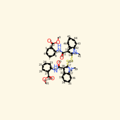 COC(=O)c1ccccc1NC(=O)c1c(SSc2c(C(=O)Nc3ccccc3C(=O)OC)c3ccccc3n2C)n(C)c2ccccc12